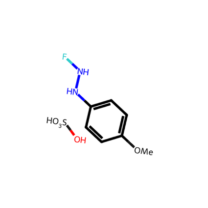 COc1ccc(NNF)cc1.O=S(=O)(O)O